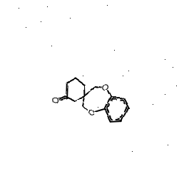 O=C1CCCC2(COc3ccccc3OC2)C1